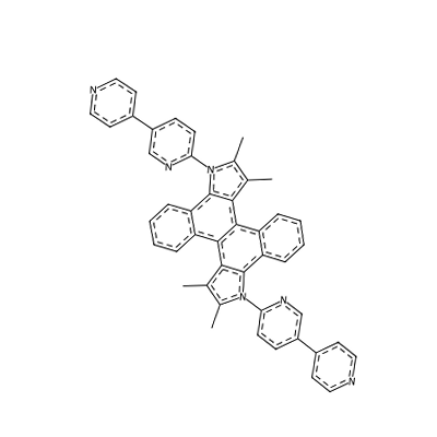 Cc1c(C)n(-c2ccc(-c3ccncc3)cn2)c2c3ccccc3c3c4c(C)c(C)n(-c5ccc(-c6ccncc6)cn5)c4c4ccccc4c3c12